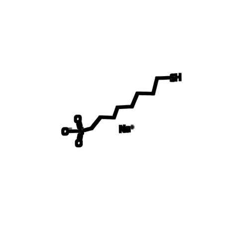 O=S(=O)([O-])CCCCCCCCS.[Na+]